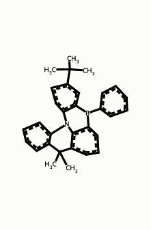 CC(C)(C)c1ccc2c(c1)B(c1ccccc1)c1cccc3c1N2c1ccccc1C3(C)C